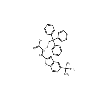 CC(C)(C)c1ccc2oc(N[C@@H](CSC(c3ccccc3)(c3ccccc3)c3ccccc3)C(=O)O)nc2c1